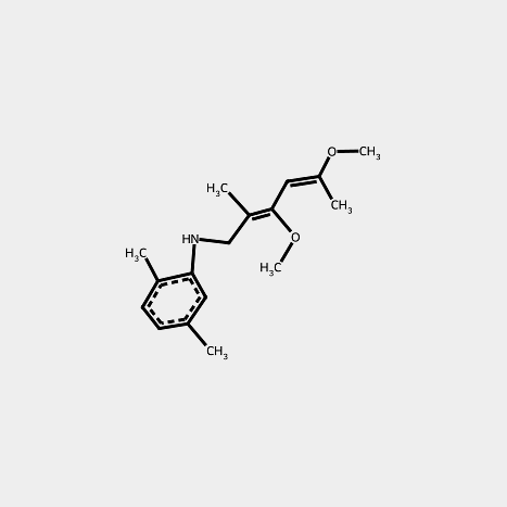 COC(/C=C(\C)OC)=C(/C)CNc1cc(C)ccc1C